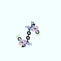 O=C(C(=O)N1C(c2nc(-c3ccc(-c4ccc(-c5c[nH]c([C@@H]6CC7CC7N6C(=O)C(=O)N6CCC(F)(F)CC6)n5)cc4)cc3)c[nH]2)C[C@@H]2CC21)N1CCC(F)(F)CC1